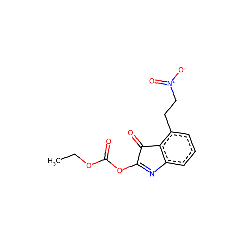 CCOC(=O)OC1=Nc2cccc(CC[N+](=O)[O-])c2C1=O